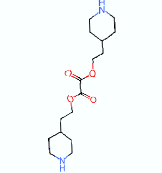 O=C(OCCC1CCNCC1)C(=O)OCCC1CCNCC1